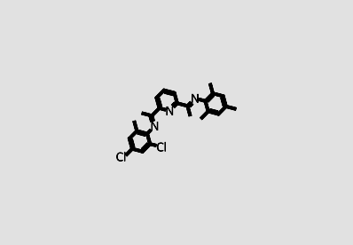 CC(=Nc1c(C)cc(C)cc1C)c1cccc(C(C)=Nc2c(C)cc(Cl)cc2Cl)n1